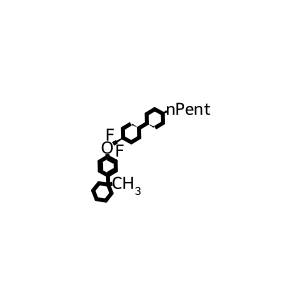 CCCCC[C@H]1CC[C@H]([C@H]2CC[C@H](C(F)(F)Oc3ccc(C4(C)CCCCC4)cc3)CC2)CC1